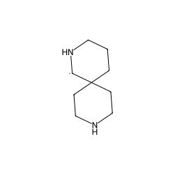 [CH]1NCCCC12CCNCC2